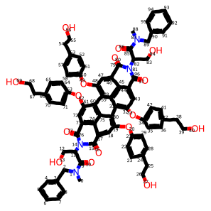 CN(Cc1ccccc1)C(=O)C(CO)N1C(=O)c2cc(Oc3ccc(CCO)cc3)c3c4c(Oc5ccc(CCO)cc5)cc5c6c(cc(Oc7ccc(CCO)cc7)c(c7c(Oc8ccc(CCO)cc8)cc(c2c37)C1=O)c64)C(=O)N(C(CO)C(=O)N(C)Cc1ccccc1)C5=O